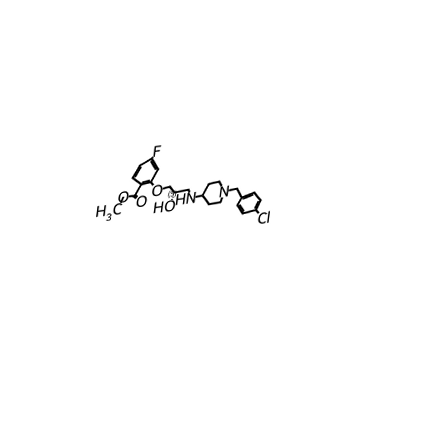 COC(=O)c1ccc(F)cc1OC[C@@H](O)CNC1CCN(Cc2ccc(Cl)cc2)CC1